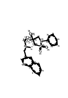 CCN(Cc1cnc2ccccc2c1)C[C@@H]1[C@](C)(O)CN(c2ccccc2)S1(=O)=O